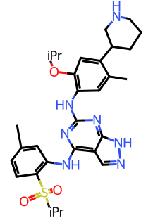 Cc1ccc(S(=O)(=O)C(C)C)c(Nc2nc(Nc3cc(C)c(C4CCCNC4)cc3OC(C)C)nc3[nH]ncc23)c1